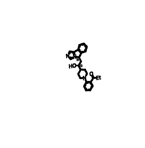 CCC(=O)c1ccccc1N1CCC([C@@H](O)C[C@@H]2c3ccccc3-c3cncn32)CC1